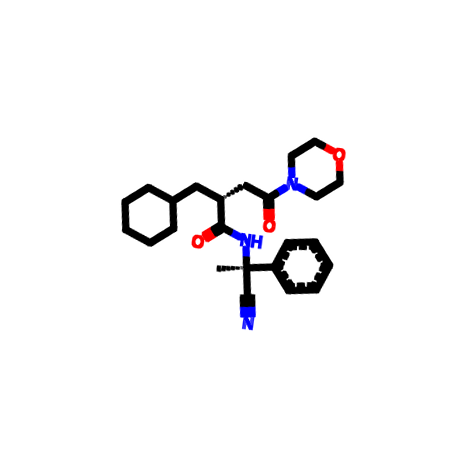 C[C@](C#N)(NC(=O)[C@@H](CC(=O)N1CCOCC1)CC1CCCCC1)c1ccccc1